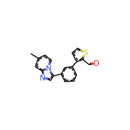 Cc1ccn2c(-c3cccc(-c4ccsc4C=O)c3)cnc2c1